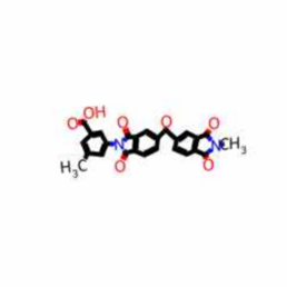 Cc1cc(C(=O)O)cc(N2C(=O)c3ccc(C(=O)c4ccc5c(c4)C(=O)N(C)C5=O)cc3C2=O)c1